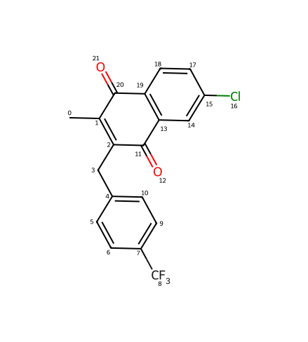 CC1=C(Cc2ccc(C(F)(F)F)cc2)C(=O)c2cc(Cl)ccc2C1=O